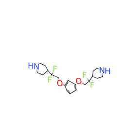 FC(F)(COc1cccc(OCC(F)(F)C2CCNCC2)c1)C1CCNCC1